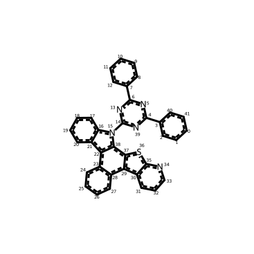 c1ccc(-c2nc(-c3ccccc3)nc(-n3c4ccccc4c4c5ccccc5c5c6cccnc6sc5c43)n2)cc1